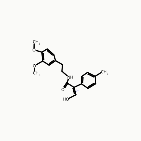 COc1ccc(CCNC(=O)/C(=C\O)c2ccc(C)cc2)cc1OC